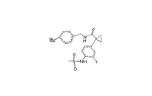 CC(C)(C)c1ccc(CNC(=O)C2(c3ccc(NS(C)(=O)=O)c(F)c3)CC2)cc1